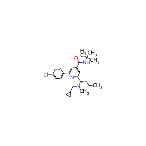 CC/C=C(/c1cc(C(=O)NC(C)(C)C)cc(-c2ccc(Cl)cc2)n1)N(C)CC1CC1